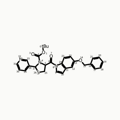 CC(C)(C)OC(=O)N1C(C(=O)n2ccc3cc(OCc4ccccc4)ccc32)CSC1c1cccnc1